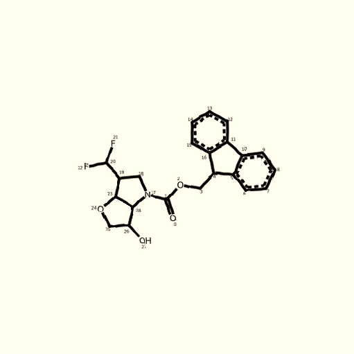 O=C(OCC1c2ccccc2-c2ccccc21)N1CC(C(F)F)C2OCC(O)C21